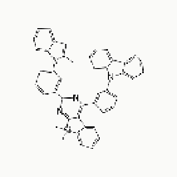 Cc1cc2ccccc2n1-c1cccc(-c2nc(-c3cccc(-n4c5ccccc5c5ccccc54)c3)c3c(n2)[Si](C)(C)c2ccccc2-3)c1